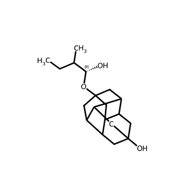 CCC(C)[C@H](O)OC12CC3C4CC5(O)CC3C(C1)C(C5)C4C2